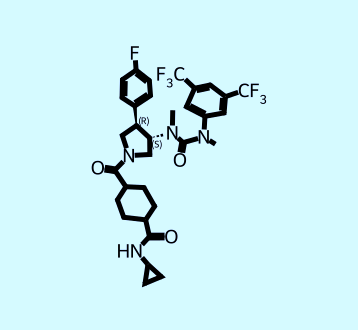 CN(C(=O)N(C)[C@@H]1CN(C(=O)C2CCC(C(=O)NC3CC3)CC2)C[C@H]1c1ccc(F)cc1)c1cc(C(F)(F)F)cc(C(F)(F)F)c1